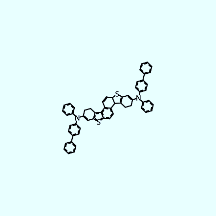 C1=CC2SC3=C(CCC(N(c4ccccc4)c4ccc(-c5ccccc5)cc4)=C3)C2c2ccc3sc4c(c3c21)CCC(N(c1ccccc1)c1ccc(-c2ccccc2)cc1)=C4